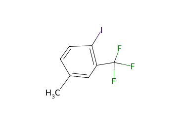 Cc1ccc(I)c(C(F)(F)F)c1